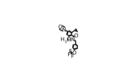 Cc1cc(N2CCOCC2)cc(C2CC2)c1C(=O)NCc1ccc(OC(F)(F)F)cc1